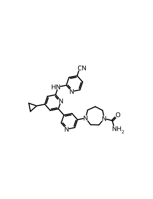 N#Cc1ccnc(Nc2cc(C3CC3)cc(-c3cncc(N4CCCN(C(N)=O)CC4)c3)n2)c1